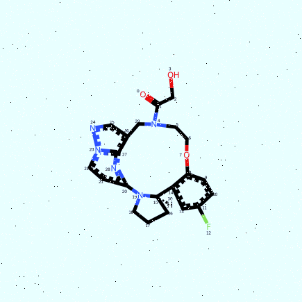 O=C(CO)N1CCOc2ccc(F)cc2[C@H]2CCCN2c2ccn3ncc(c3n2)C1